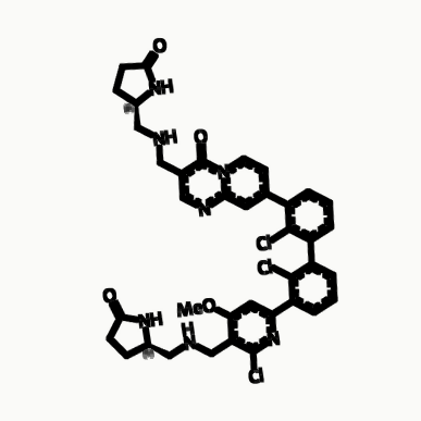 COc1cc(-c2cccc(-c3cccc(-c4ccn5c(=O)c(CNC[C@H]6CCC(=O)N6)cnc5c4)c3Cl)c2Cl)nc(Cl)c1CNC[C@H]1CCC(=O)N1